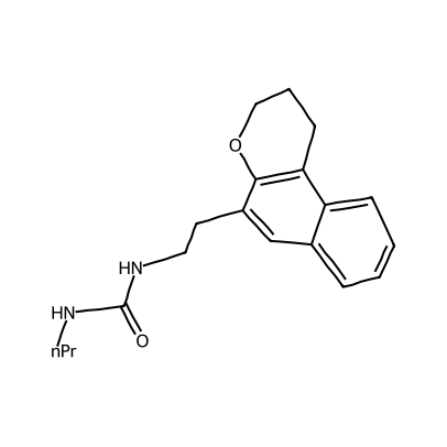 CCCNC(=O)NCCc1cc2ccccc2c2c1OCCC2